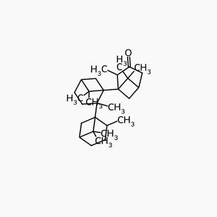 CC1CCC2CC1(C1(C)CCC3CC1(C14CC(CC(=O)C1C)C4(C)C)C3(C)C)C2(C)C